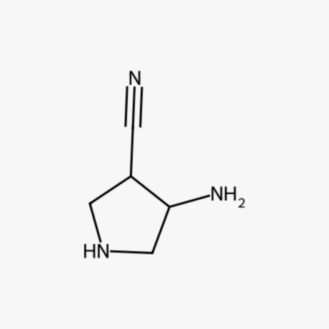 N#CC1CNCC1N